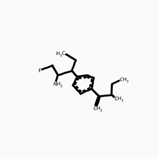 C=C(c1ccc(C(CC)C(N)CF)cc1)C(C)CC